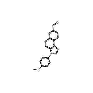 CSc1ccc(-n2cnc3c4ccc(C=O)cc4ccc32)cc1